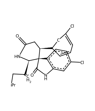 C=C(CC(C)C)[C@H]1NC(=O)C[C@@H](C2C=CC=C(Cl)C2)[C@]12C(=O)Nc1cc(Cl)ccc12